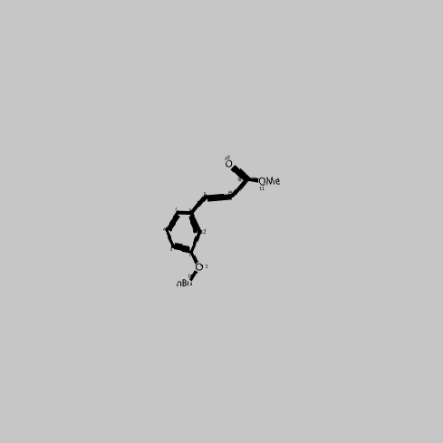 CCCCOc1cccc(C=CC(=O)OC)c1